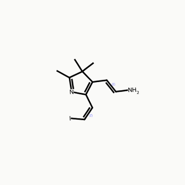 CC1=NC(/C=C\I)=C(/C=C/N)C1(C)C